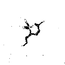 C=C(Cl)/C=C\C(=C/CCl)S(=O)(=O)Cl